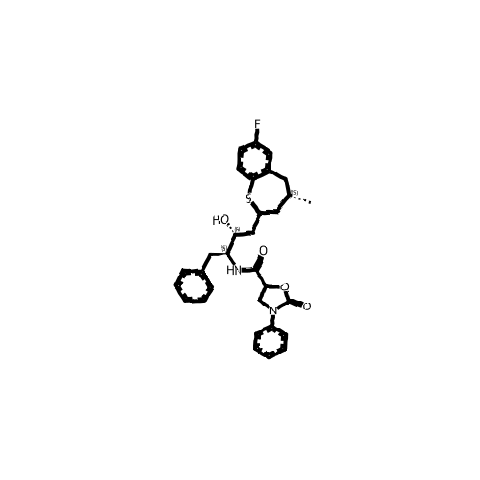 C[C@H]1Cc2cc(F)ccc2SC(C[C@@H](O)[C@H](Cc2ccccc2)NC(=O)C2CN(c3ccccc3)C(=O)O2)C1